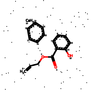 C=CCOC(=O)c1ccccc1O.[CaH2].c1ccccc1